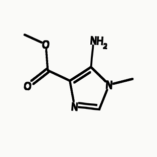 COC(=O)c1ncn(C)c1N